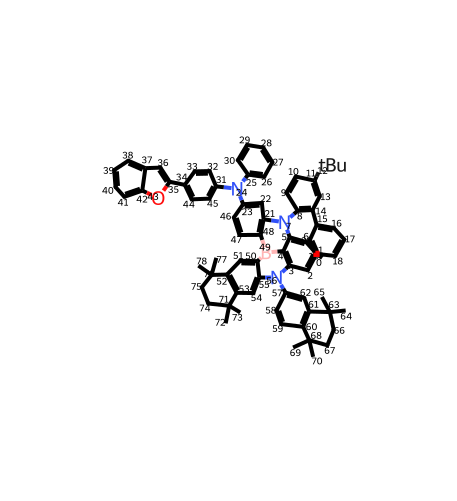 Cc1cc2c3c(c1)N(c1ccc(C(C)(C)C)cc1-c1ccccc1)c1cc(N(c4ccccc4)c4ccc(-c5cc6ccccc6o5)cc4)ccc1B3c1cc3c(cc1N2c1ccc2c(c1)C(C)(C)CCC2(C)C)C(C)(C)CCC3(C)C